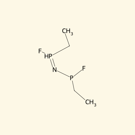 CCP(F)/N=[PH](/F)CC